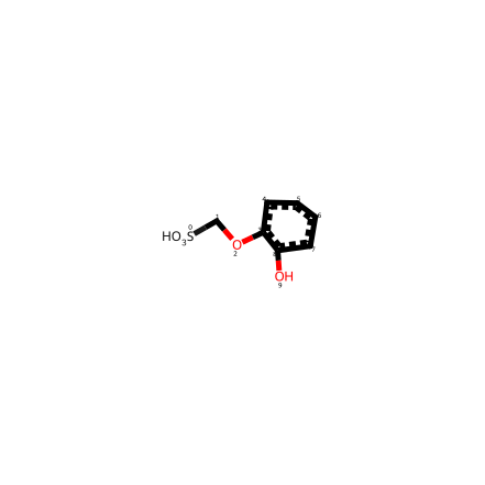 O=S(=O)(O)COc1ccccc1O